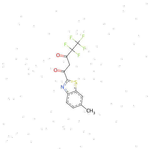 Cc1ccc2nc(C(=O)CC(=O)C(F)(F)C(F)(F)F)sc2c1